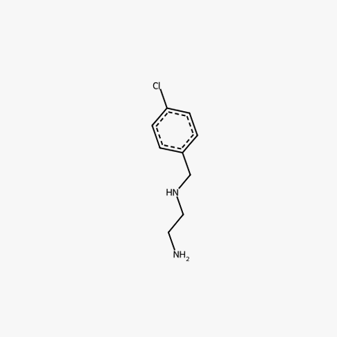 NCCNCc1ccc(Cl)cc1